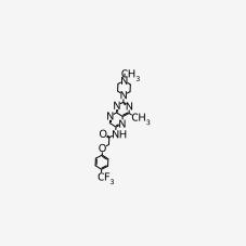 Cc1nc(N2CCN(C)CC2)nc2ncc(NC(=O)COc3ccc(C(F)(F)F)cc3)nc12